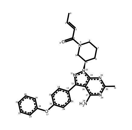 C/C=C/C(=O)N1CCC[C@@H](n2nc(-c3ccc(Oc4ccccc4)cc3)c3c(N)nc(C)nc32)C1